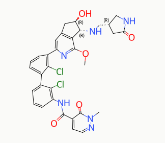 COc1nc(-c2cccc(-c3cccc(NC(=O)c4ccnn(C)c4=O)c3Cl)c2Cl)cc2c1[C@@H](NC[C@@H]1CNC(=O)C1)[C@H](O)C2